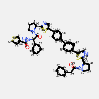 O=C(N[C@@H](C(=O)N1CCC[C@H]1c1ncc(-c2ccc(-c3ccc(-c4cnc(C5CCCN5C(=O)Cc5ccccc5)s4)cc3)cc2)s1)c1ccccc1)c1ccsc1